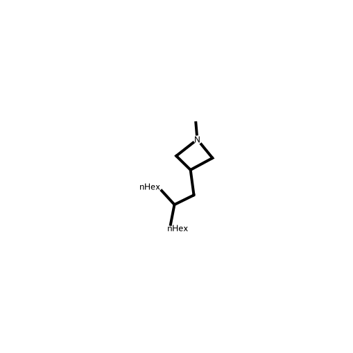 CCCCCCC(CCCCCC)CC1CN(C)C1